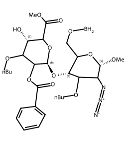 BOCC1O[C@H](OC)C(N=[N+]=[N-])C(OCCCC)[C@@H]1O[C@@H]1OC(C(=O)OC)[C@@H](O)C(OCCCC)C1OC(=O)c1ccccc1